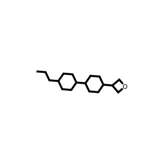 CCCC1CCC(C2CCC(C3COC3)CC2)CC1